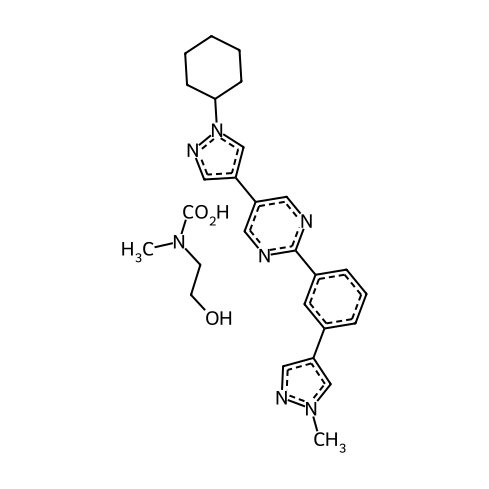 CN(CCO)C(=O)O.Cn1cc(-c2cccc(-c3ncc(-c4cnn(C5CCCCC5)c4)cn3)c2)cn1